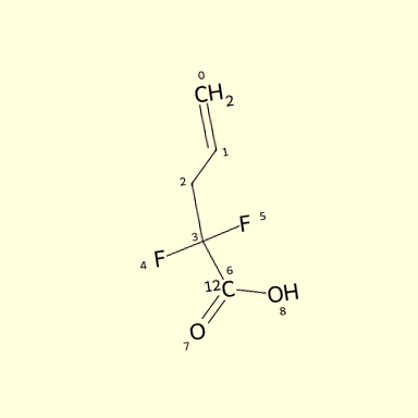 C=CCC(F)(F)[12C](=O)O